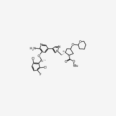 C[C@@H](Oc1cc(-c2cnn(C[C@@H]3CC(OC4CCCCO4)CN3C(=O)OC(C)(C)C)c2)cnc1N)c1c(Cl)ccc(F)c1Cl